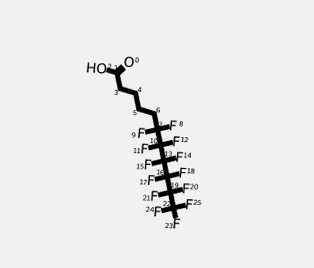 O=C(O)CCCCC(F)(F)C(F)(F)C(F)(F)C(F)(F)C(F)(F)C(F)(F)F